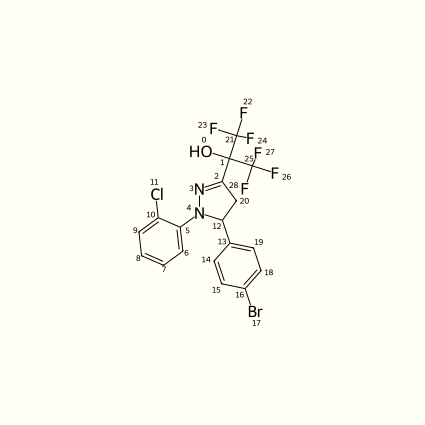 OC(C1=NN(c2ccccc2Cl)C(c2ccc(Br)cc2)C1)(C(F)(F)F)C(F)(F)F